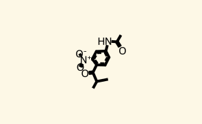 CC(=O)Nc1ccc(C(=O)C(C)C)c([N+](=O)[O-])c1